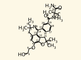 CC1(C)Cc2cc(OCCO)c3c(c2C(c2cccc(C(=O)NC(C)(C)C(N)=O)c2)=N1)CC(C)(C)O3